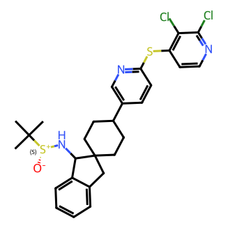 CC(C)(C)[S@@+]([O-])NC1c2ccccc2CC12CCC(c1ccc(Sc3ccnc(Cl)c3Cl)nc1)CC2